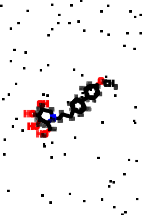 COc1ccc(-c2ccc(CCCN3CC(O)C(O)C(O)C3CO)cc2)cc1